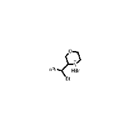 Br.CCCC(CC)C1COCCN1